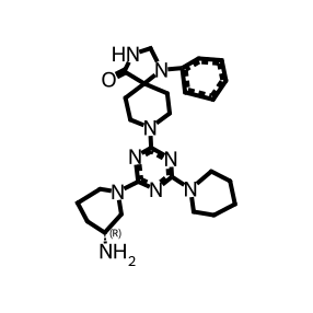 N[C@@H]1CCCN(c2nc(N3CCCCC3)nc(N3CCC4(CC3)C(=O)NCN4c3ccccc3)n2)C1